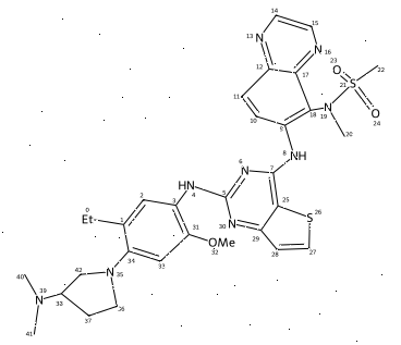 CCc1cc(Nc2nc(Nc3ccc4nccnc4c3N(C)S(C)(=O)=O)c3sccc3n2)c(OC)cc1N1CCC(N(C)C)C1